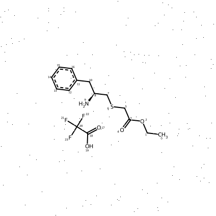 CCOC(=O)CSC[C@@H](N)Cc1ccccc1.O=C(O)C(F)(F)F